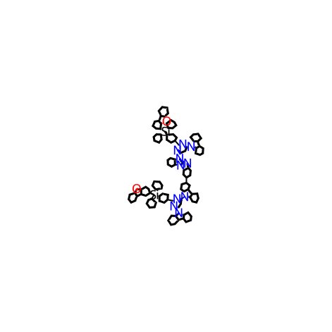 c1ccc([Si](c2ccccc2)(c2ccc(-c3nc(-n4c5ccccc5c5ccccc54)cc(-n4c5ccccc5c5cc(-c6ccc7nc8n(-c9cc(-n%10c%11ccccc%11c%11ccccc%11%10)nc(-c%10ccc([Si](c%11ccccc%11)(c%11ccccc%11)c%11cccc%12c%11oc%11ccccc%11%12)cc%10)n9)c9ccccc9n8c7c6)ccc54)n3)cc2)c2ccc3oc4ccccc4c3c2)cc1